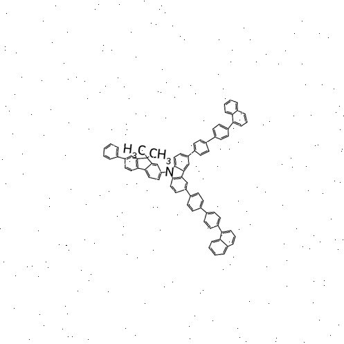 CC1(C)c2cc(-c3ccccc3)ccc2-c2ccc(-n3c4ccc(-c5ccc(-c6ccc(-c7cccc8ccccc78)cc6)cc5)cc4c4cc(-c5ccc(-c6ccc(-c7cccc8ccccc78)cc6)cc5)ccc43)cc21